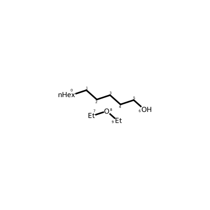 CCCCCCCCCCCO.CCOCC